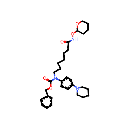 O=C(CCCCCCN(C(=O)OCc1ccccc1)c1ccc(N2CCCCC2)cc1)NOC1CCCCO1